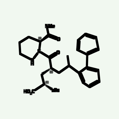 CCCC[C@@H](C[C@@H](CC(C)c1ccccc1-c1ccccc1)C(=O)N1NCCC[C@H]1C(=O)NC)C(=O)O